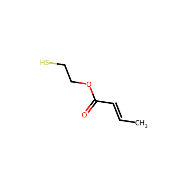 CC=CC(=O)OCCS